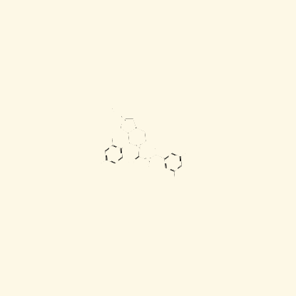 CC(=O)N1CC2[C@H](CCN(C(=O)N(C)[C@H](C)c3cc(C(F)(F)F)cc(C(F)(F)F)c3)[C@H]2c2ccc(F)cc2C)C1